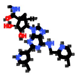 CNC(=O)[C@@]12C[C@@H]1C(n1cnc3c(NCc4cc(C)ccn4)nc(-c4cncc(C)c4)nc31)[C@H](O)[C@@H]2O